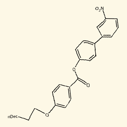 CCCCCCCCCCCCOc1ccc(C(=O)Oc2ccc(-c3cccc([N+](=O)[O-])c3)cc2)cc1